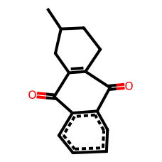 CC1CCC2=C(C1)C(=O)c1ccccc1C2=O